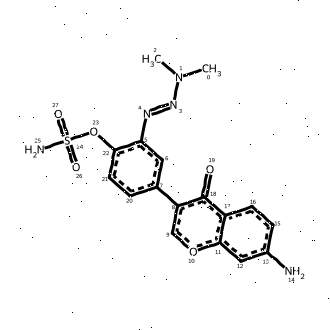 CN(C)N=Nc1cc(-c2coc3cc(N)ccc3c2=O)ccc1OS(N)(=O)=O